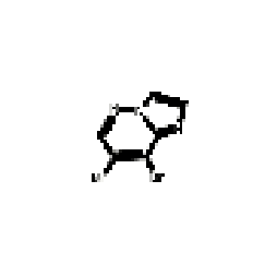 Brc1cnn2ccnc2c1Br